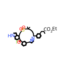 CCOC(=O)[C@@H](C)Cc1cccc(C2CCCC(C)(C)CS(=O)(=O)CCc3c(c(F)cc4[nH]ccc34)C(=O)c3cccc(c3)-c3ccn2n3)c1